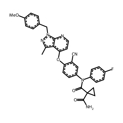 COc1ccc(Cn2nc(C)c3c(Oc4ccc(N(C(=O)C5(C(N)=O)CC5)c5ccc(F)cc5)cc4C#N)ccnc32)cc1